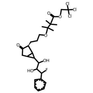 CC(C)(OCCC[C@@H]1C(=O)CC2C(C(O)C(O)C(F)c3ccccc3)C21)C(C)(C)C(=O)OCC(Cl)(Cl)Cl